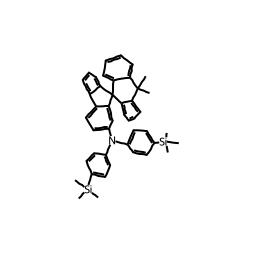 CC1(C)c2ccccc2C2(c3ccccc3-c3ccc(N(c4ccc([Si](C)(C)C)cc4)c4ccc([Si](C)(C)C)cc4)cc32)c2ccccc21